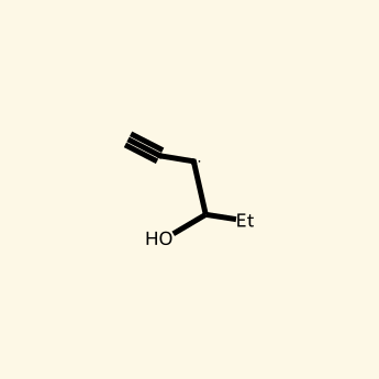 C#C[CH]C(O)CC